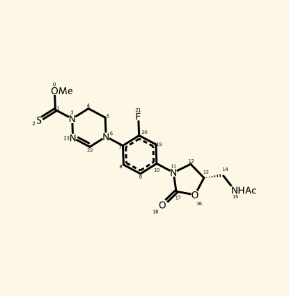 COC(=S)N1CCN(c2ccc(N3C[C@H](CNC(C)=O)OC3=O)cc2F)C=N1